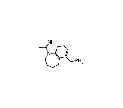 CC(=N)N1CCCCC2=C1CCC=C2CP